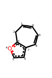 C1=CCc2occc2C=C1